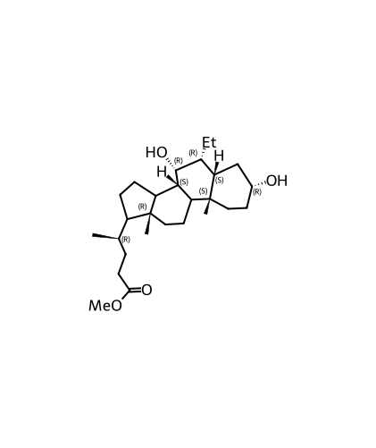 CC[C@H]1[C@@H](O)[C@H]2C3CCC([C@H](C)CCC(=O)OC)[C@@]3(C)CCC2[C@@]2(C)CC[C@@H](O)C[C@@H]12